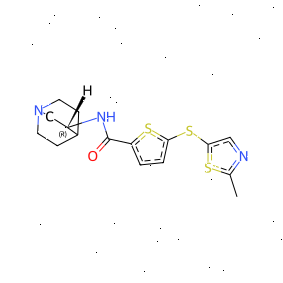 Cc1ncc(Sc2ccc(C(=O)N[C@H]3CN4CCC3CC4)s2)s1